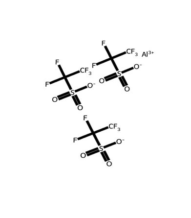 O=S(=O)([O-])C(F)(F)C(F)(F)F.O=S(=O)([O-])C(F)(F)C(F)(F)F.O=S(=O)([O-])C(F)(F)C(F)(F)F.[Al+3]